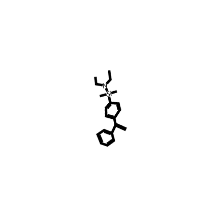 C=C(c1ccccc1)c1ccc([Si](C)(C)N(CC)CC)cc1